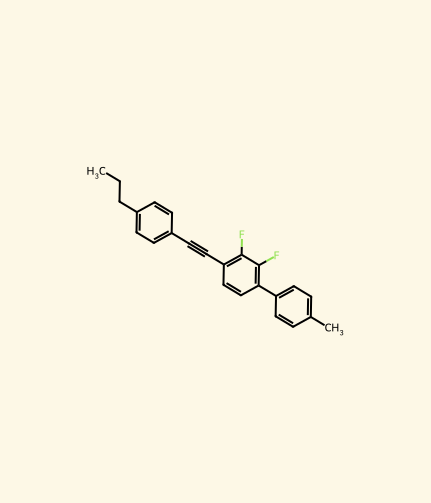 CCCc1ccc(C#Cc2ccc(-c3ccc(C)cc3)c(F)c2F)cc1